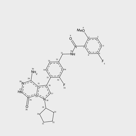 COc1ccc(F)cc1C(=O)NCc1ccc(-c2cn(C3CCCC3)c3c(=O)[nH]nc(N)c23)c(F)c1